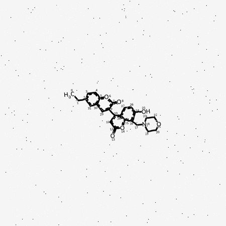 CCc1ccc2oc(=O)c(-c3cc(=O)oc4c(CN5CCOCC5)c(O)ccc34)cc2c1